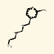 CCCNCNCc1ccnc(C)c1